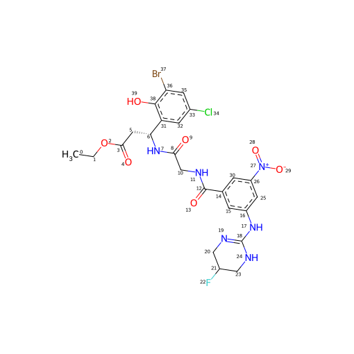 CCOC(=O)C[C@@H](NC(=O)CNC(=O)c1cc(NC2=NCC(F)CN2)cc([N+](=O)[O-])c1)c1cc(Cl)cc(Br)c1O